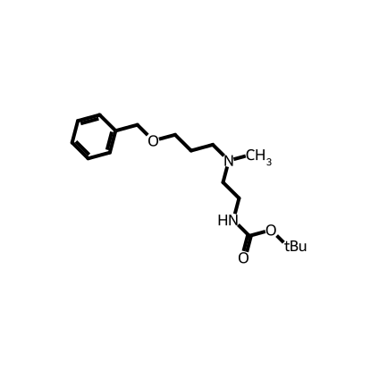 CN(CCCOCc1ccccc1)CCNC(=O)OC(C)(C)C